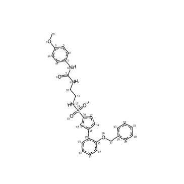 COc1ccc(NC(=O)NCCNS(=O)(=O)c2ccc(-c3ccccc3OCc3ccccc3)s2)cc1